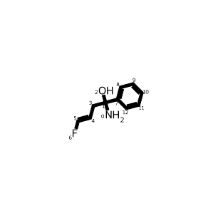 NC(O)(CC=CF)c1ccccc1